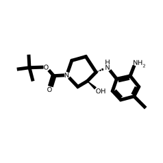 Cc1ccc(N[C@H]2CCN(C(=O)OC(C)(C)C)C[C@@H]2O)c(N)c1